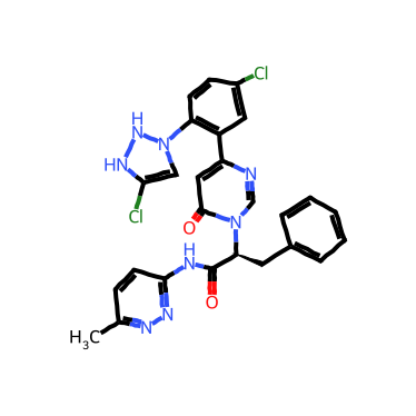 Cc1ccc(NC(=O)[C@H](Cc2ccccc2)n2cnc(-c3cc(Cl)ccc3N3C=C(Cl)NN3)cc2=O)nn1